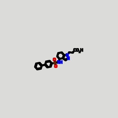 O=C(O)CCn1ncc2c1CCCC2NS(=O)(=O)c1ccc(-c2ccccc2)cc1